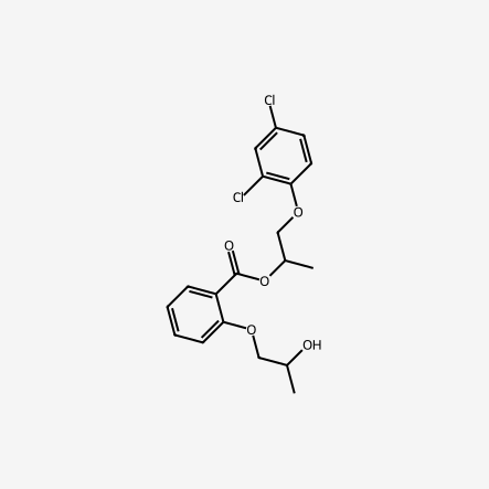 CC(O)COc1ccccc1C(=O)OC(C)COc1ccc(Cl)cc1Cl